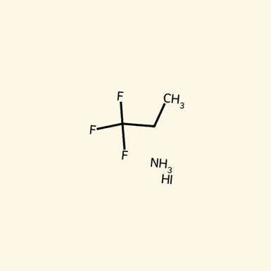 CCC(F)(F)F.I.N